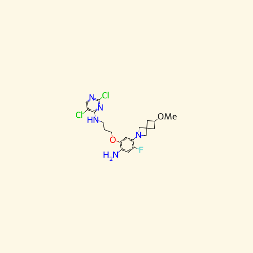 COC1CC2(C1)CN(c1cc(OCCCNc3nc(Cl)ncc3Cl)c(N)cc1F)C2